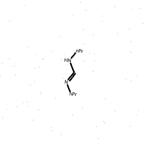 CCC/N=[C]/NCCC